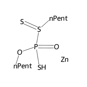 CCCCCOP(=O)(S)S(=S)CCCCC.[Zn]